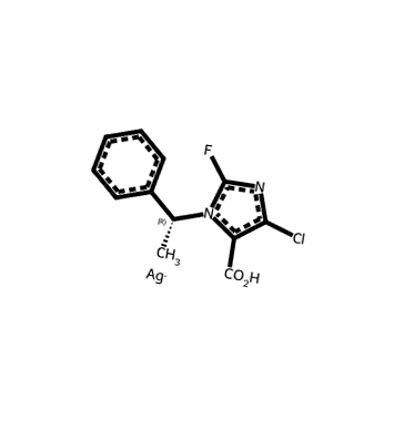 C[C@H](c1ccccc1)n1c(F)nc(Cl)c1C(=O)O.[Ag]